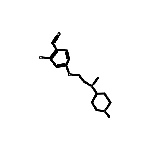 CN1CCC(N(C)CCOc2ccc(C=O)c(Cl)c2)CC1